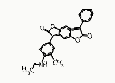 CCNc1ccc(C2=c3cc4c(cc3OC2=O)=C(c2ccccc2)C(=O)O4)cc1C